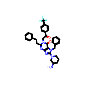 NC1CCCN(c2nc3nc(CCc4ccccc4)n(CC(=O)c4ccc(C(F)(F)F)cc4)c(=O)c3n2Cc2ccccc2)C1